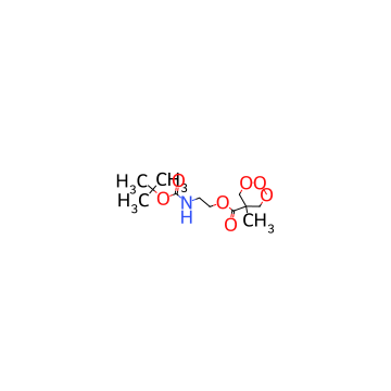 CC(C)(C)OC(=O)NCCOC(=O)C1(C)COOOC1